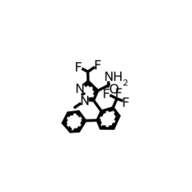 Cn1nc(C(F)F)c(C(N)=O)c1-c1c(-c2ccccc2)cccc1C(F)(F)F